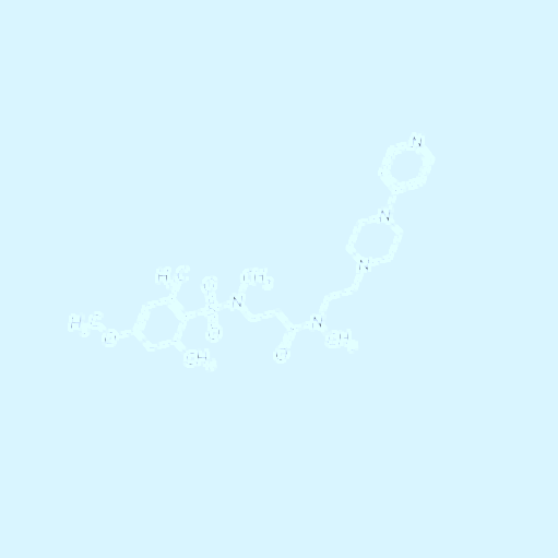 COC1=CC(C)=C(S(=O)(=O)N(C)CCC(=O)N(C)CCN2CCN(c3ccncc3)CC2)C(C)C1